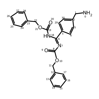 NCc1ccc(C(=NC(=O)OCc2ccccc2)NC(=O)OCc2ccccc2)cc1